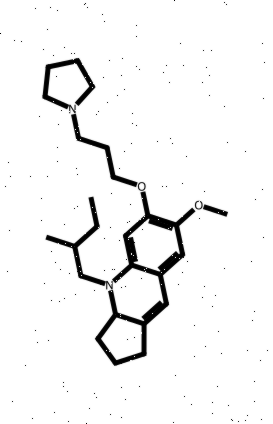 CCC(C)CN1c2cc(OCCCN3CCCC3)c(OC)cc2C=C2CCCC21